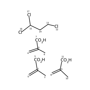 C=C(C)C(=O)O.C=C(C)C(=O)O.C=C(C)C(=O)O.ClCCC(Cl)Cl